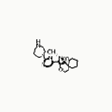 C[C@H]1CNCCCN1c1nccc(-c2noc3c2OCCC32CCCCC2=O)n1